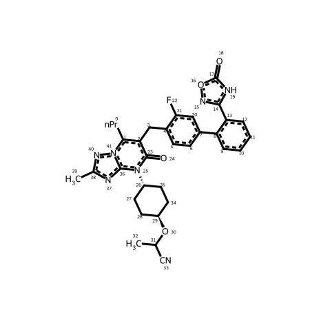 CCCc1c(Cc2ccc(-c3ccccc3-c3noc(=O)[nH]3)cc2F)c(=O)n([C@H]2CC[C@H](OC(C)C#N)CC2)c2nc(C)nn12